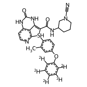 [2H]c1c([2H])c([2H])c(Oc2ccc([SH]3C(C(=O)NC4CCCN(C#N)C4)=C4NC(=O)Nc5ccnc3c54)c(C)c2)c([2H])c1[2H]